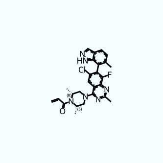 C=CC(=O)N1[C@H](C)CN(c2nc(C)nc3c(F)c(-c4c(C)ccc5cn[nH]c45)c(Cl)cc23)C[C@@H]1C